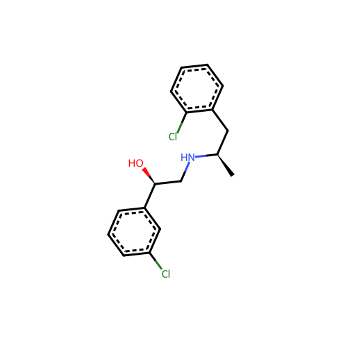 C[C@H](Cc1ccccc1Cl)NC[C@H](O)c1cccc(Cl)c1